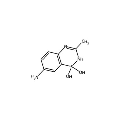 CC1=Nc2ccc(N)cc2S(O)(O)N1